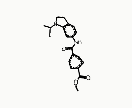 COC(=O)c1ccc(C(=O)Nc2ccc3c(c2)N(C(C)C)CC3)cc1